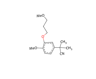 COCCCOc1cc(C(C)(C)C#N)ccc1OC